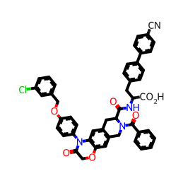 N#Cc1ccc(-c2ccc(CC(NC(=O)C3Cc4cc5c(cc4CN3C(=O)c3ccccc3)OCC(=O)N5c3ccc(OCc4cccc(Cl)c4)cc3)C(=O)O)cc2)cc1